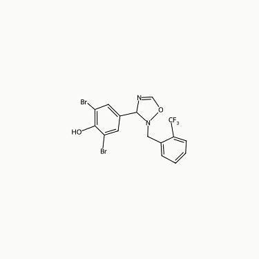 Oc1c(Br)cc(C2N=CON2Cc2ccccc2C(F)(F)F)cc1Br